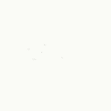 CO[Si](CC(C)CNc1ccccc1)(OC)OC